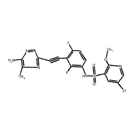 COc1ncc(Cl)cc1S(=O)(=O)Nc1ccc(F)c(C#Cc2cnc(N)c(C)n2)c1F